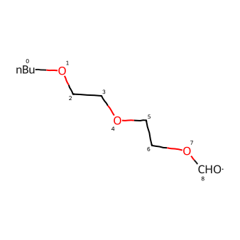 CCCCOCCOCCO[C]=O